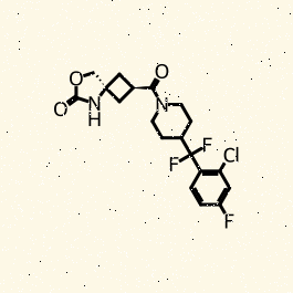 O=C1N[C@]2(CO1)C[C@H](C(=O)N1CCC(C(F)(F)c3ccc(F)cc3Cl)CC1)C2